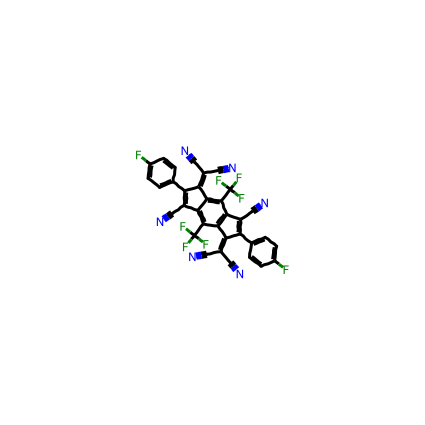 N#CC(C#N)=C1C(c2ccc(F)cc2)=C(C#N)c2c1c(C(F)(F)F)c1c(c2C(F)(F)F)C(=C(C#N)C#N)C(c2ccc(F)cc2)=C1C#N